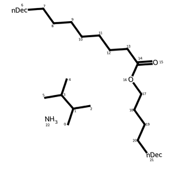 CC(C)C(C)C.CCCCCCCCCCCCCCCCCC(=O)OCCCCCCCCCCCCCC.N